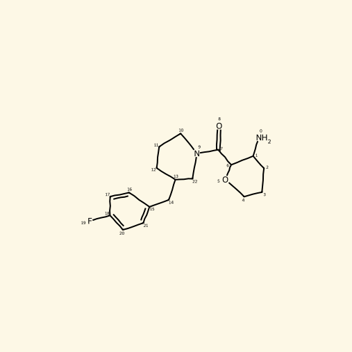 NC1CCCOC1C(=O)N1CCCC(Cc2ccc(F)cc2)C1